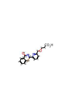 O=C(O)CCOCc1cccc(-c2nc(=O)c3ccccc3s2)n1